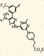 CCCN(c1sc(Nc2cc(N3CCN(CCC(=O)OCC)CC3)nc(C)n2)nc1-c1cc(F)cc(C(F)(F)F)c1)C(C)C